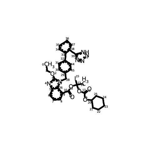 CCOc1nc2cccc(C(=O)OC(C)(I)OC(=O)OC3CCCCC3)c2n1Cc1ccc(-c2ccccc2-c2nnn[nH]2)cc1